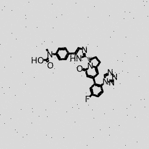 CN(C(=O)O)c1ccc(-c2cnc([C@@H]3CCc4cc(-c5cc(F)ccc5-n5cnnn5)cc(=O)n43)[nH]2)cc1